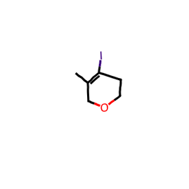 CC1=C(I)CCOC1